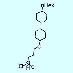 CCCCCC[C@H]1CC[C@H]([C@H]2CC[C@H](OCCC[SiH](Cl)Cl)CC2)CC1